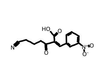 N#CCCCC(=O)C(=Cc1cccc([N+](=O)[O-])c1)C(=O)O